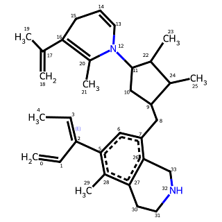 C=C/C(=C\C)c1cc(CC2CC(N3C=CCC(C(=C)C)=C3C)C(C)C2C)c2c(c1C)CCNC2